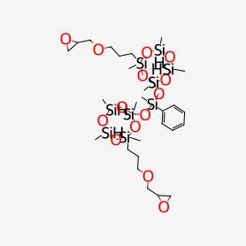 C[SiH]1O[SiH](C)O[Si](C)(O[Si](C)(O[Si]2(C)O[SiH](C)O[SiH](C)O[Si](C)(CCCOCC3CO3)O2)c2ccccc2)O[Si](C)(CCCOCC2CO2)O1